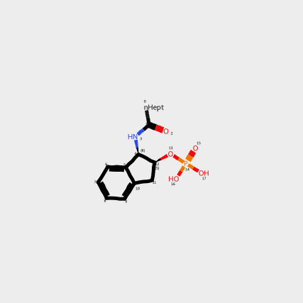 CCCCCCCC(=O)N[C@@H]1c2ccccc2C[C@@H]1OP(=O)(O)O